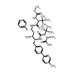 COC(=O)N[C@H](C(=O)N[C@@H](Cc1ccccc1)C[C@H](O)[C@H](Cc1ccc(-c2ccc(C)cn2)cc1)NC(=O)[C@@H](N(C)C(=O)O)C(C)(C)C)C(C)(C)C